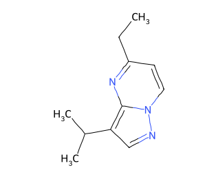 CCc1ccn2ncc(C(C)C)c2n1